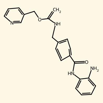 C=C(NCc1ccc(C(=O)Nc2ccccc2N)cc1)OCc1cccnc1